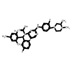 Cc1cc(C)c(C(c2cc(F)ccc2F)N(C(=O)O)c2ccnc(Nc3ccc(N4CCN(C)C(C)C4)c(F)c3)n2)c(C)c1